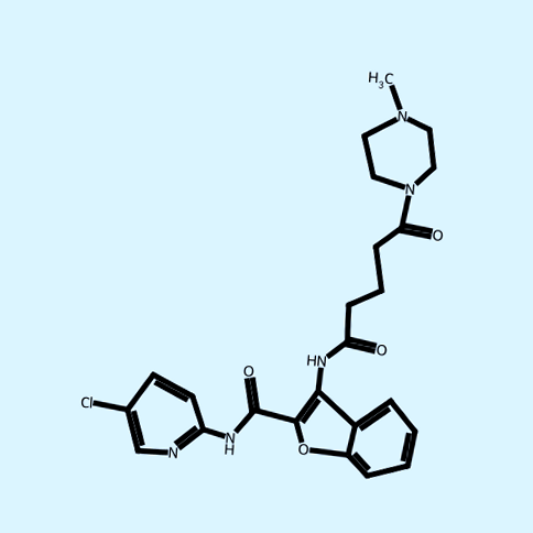 CN1CCN(C(=O)CCCC(=O)Nc2c(C(=O)Nc3ccc(Cl)cn3)oc3ccccc23)CC1